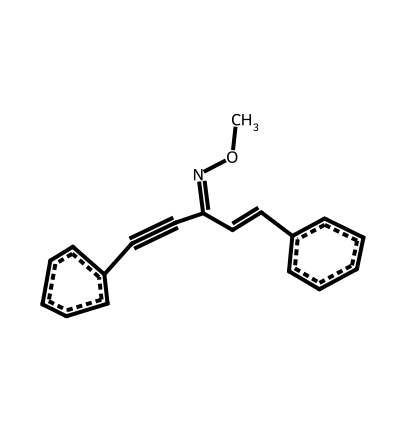 CON=C(C#Cc1ccccc1)C=Cc1ccccc1